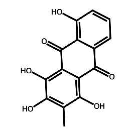 Cc1c(O)c(O)c2c(c1O)C(=O)c1cccc(O)c1C2=O